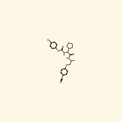 CC(COc1ccc(C#N)cc1)NC(=O)C(NC(=O)Oc1ccc(Cl)cc1)C1CCCC1